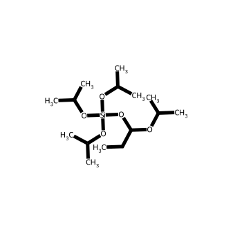 CCC(OC(C)C)O[Si](OC(C)C)(OC(C)C)OC(C)C